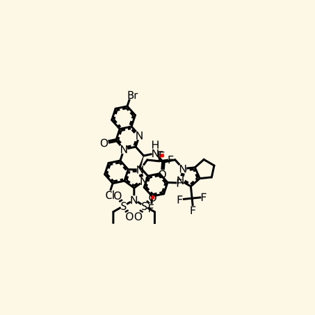 CCS(=O)(=O)N(c1nn(CC(F)(F)F)c2c(-n3c([C@H](Cc4cc(F)cc(F)c4)NC(=O)Cn4nc(C(F)(F)F)c5c4CCC5)nc4cc(Br)ccc4c3=O)ccc(Cl)c12)S(=O)(=O)CC